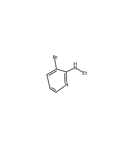 CCNc1ncccc1Br